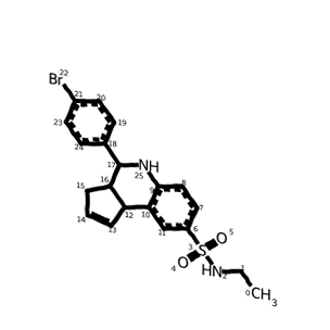 CCNS(=O)(=O)c1ccc2c(c1)C1C=CCC1C(c1ccc(Br)cc1)N2